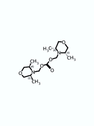 C[C@@H]1COC[C@H](C)N1COC(=O)OCN1[C@H](C)COC[C@@H]1C